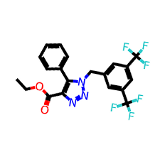 CCOC(=O)c1nnn(Cc2cc(C(F)(F)F)cc(C(F)(F)F)c2)c1-c1ccccc1